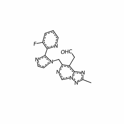 Cc1nc2c(CC=O)c(Cn3ccnc3-c3ncccc3F)ncn2n1